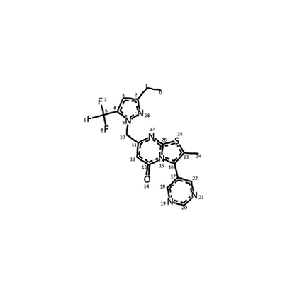 CCc1cc(C(F)(F)F)n(Cc2cc(=O)n3c(-c4cncnc4)c(C)sc3n2)n1